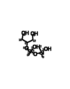 C[Si](C)(O)O[Si](C)(O)OC(CO)CO